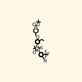 CCc1cc(N2C(=S)N(c3ccc(C#N)c(C(F)(F)F)c3)C(=O)C2(C)C)ccc1OCC1CCN(C(=O)OC(C)(C)C)CC1